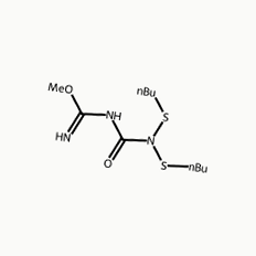 CCCCSN(SCCCC)C(=O)NC(=N)OC